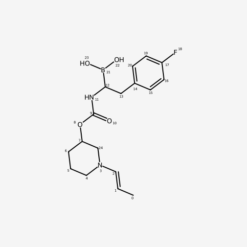 CC=CN1CCCC(OC(=O)NC(Cc2ccc(F)cc2)B(O)O)C1